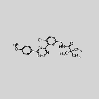 CCCOc1ccc(-c2ncnc(-c3cc(CNC(=O)C(C)(C)C(F)(F)F)ccc3Cl)n2)cc1